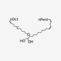 CCCCC/C=C\C/C=C\CCCCCCCCC(OCCCCCCCC/C=C\CCCCCCCC)C(O)CO